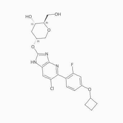 OC[C@H]1OC[C@H](Oc2nc3nc(-c4ccc(OC5CCC5)cc4F)c(Cl)cc3[nH]2)C[C@@H]1O